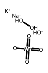 OO.[K+].[Na+].[OH-].[O]=[Mn](=[O])(=[O])[O-]